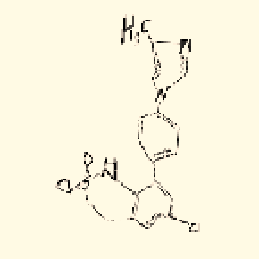 Cc1cn(-c2ccc(-c3cc(Cl)cc4c3NS(=O)(=O)CC4)cc2)cn1